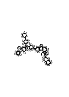 c1ccc(-c2ccc(N(c3ccc(-c4ccc5c(c4)oc4ccc6nc(-c7ccc8ccccc8c7)oc6c45)cc3)c3ccc4c(c3)oc3ccccc34)cc2)cc1